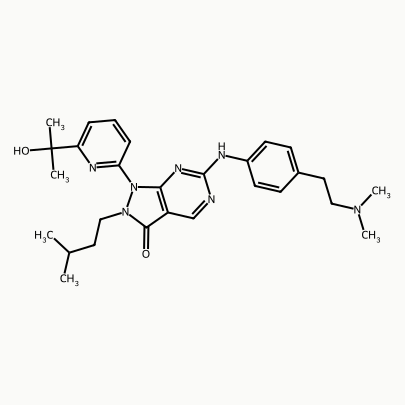 CC(C)CCn1c(=O)c2cnc(Nc3ccc(CCN(C)C)cc3)nc2n1-c1cccc(C(C)(C)O)n1